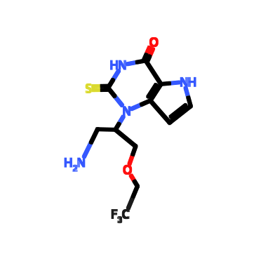 NCC(COCC(F)(F)F)n1c(=S)[nH]c(=O)c2[nH]ccc21